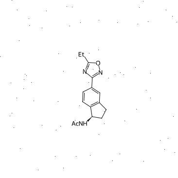 CCc1nc(-c2ccc3c(c2)CC[C@H]3NC(C)=O)no1